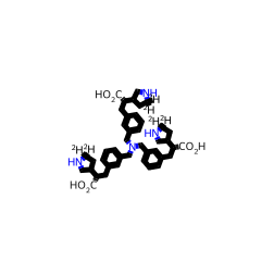 [2H]C1([2H])CC(C(Cc2cccc(CN(Cc3cccc(CC(C(=O)O)C4CNC([2H])([2H])C4)c3)Cc3cccc(CC(C(=O)O)C4CNC([2H])([2H])C4)c3)c2)C(=O)O)CN1